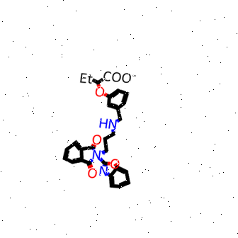 CCC(Oc1cccc(CNCCC[N+]2(c3nc4ccccc4o3)C(=O)c3ccccc3C2=O)c1)C(=O)[O-]